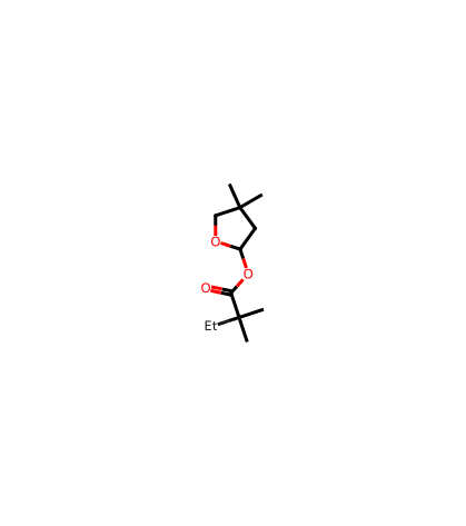 CCC(C)(C)C(=O)OC1CC(C)(C)CO1